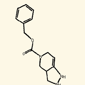 O=C(OCc1ccccc1)N1CC=C2NNCC2C1